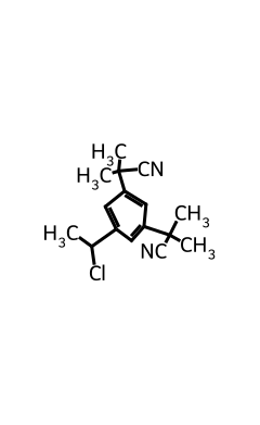 CC(Cl)c1cc(C(C)(C)C#N)cc(C(C)(C)C#N)c1